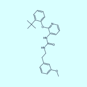 COc1cccc(CCNC(=O)Nc2cccnc2Oc2ccccc2C(C)(C)C)c1